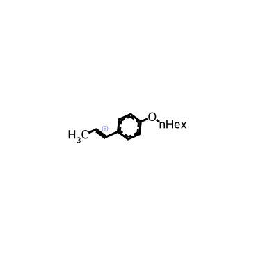 C/C=C/c1ccc(OCCCCCC)cc1